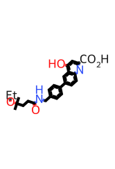 CCOC(C)(C)CCC(=O)NCc1ccc(-c2ccc3nc(C(=O)O)cc(O)c3c2)cc1